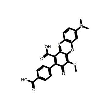 COc1c2oc3cc(N(C)C)ccc3nc-2c(C(=O)O)c(-c2ccc(C(=O)O)cc2)c1=O